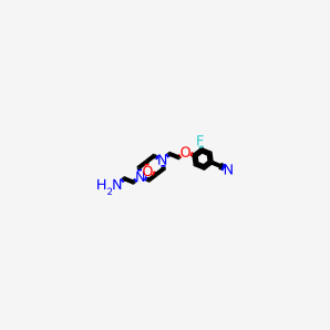 N#Cc1ccc(OCCN2CC3CN(CCN)CC(C2)O3)c(F)c1